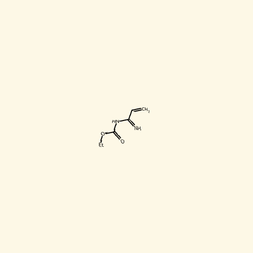 C=CC(=N)NC(=O)OCC